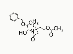 CC(=O)OCCC1(C)CC(=O)N1C(O)C(=O)OCc1ccccc1